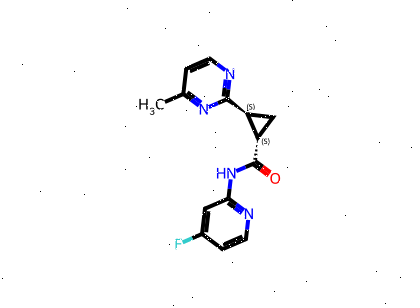 Cc1ccnc([C@H]2C[C@@H]2C(=O)Nc2cc(F)ccn2)n1